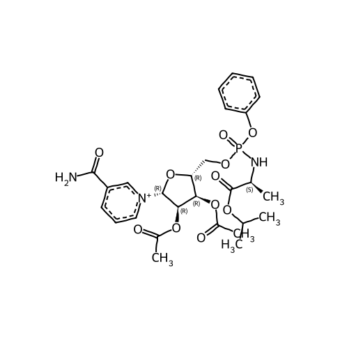 CC(=O)O[C@@H]1[C@H](OC(C)=O)[C@@H](COP(=O)(N[C@@H](C)C(=O)OC(C)C)Oc2ccccc2)O[C@H]1[n+]1cccc(C(N)=O)c1